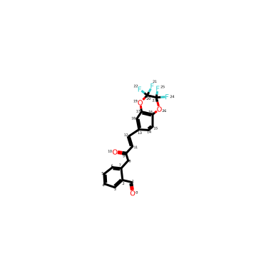 O=Cc1ccccc1CC(=O)/C=C/c1ccc2c(c1)OC(F)(F)C(F)(F)O2